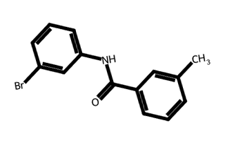 Cc1cccc(C(=O)Nc2cccc(Br)c2)c1